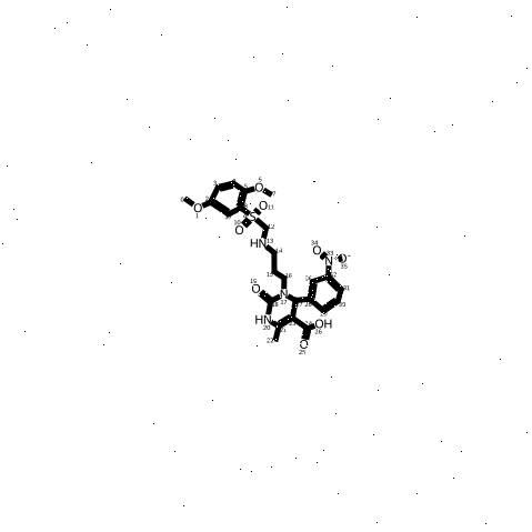 COc1ccc(OC)c(S(=O)(=O)CNCCCN2C(=O)NC(C)=C(C(=O)O)C2c2cccc([N+](=O)[O-])c2)c1